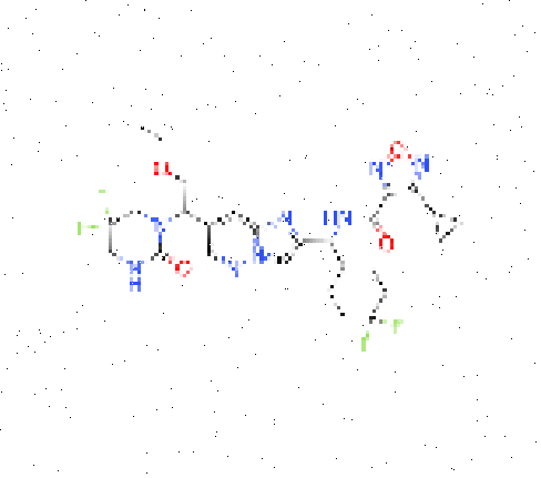 CCOCC(c1cnn2cc(C(NC(=O)c3nonc3C3CC3)C3CCC(F)(F)CC3)nc2c1)N1CC(F)(F)CNC1=O